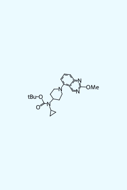 COc1ncc2c(N3CCC(N(C(=O)OC(C)(C)C)C4CC4)CC3)cccc2n1